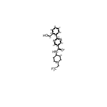 O=C(NC1CCN(CC(F)(F)F)CC1)c1cnc(-c2ccccc2CO)nc1